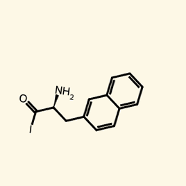 N[C@@H](Cc1ccc2ccccc2c1)C(=O)I